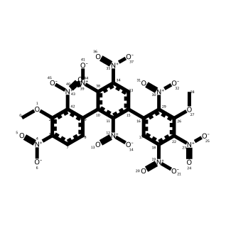 COc1c([N+](=O)[O-])ccc(-c2c([N+](=O)[O-])c(-c3cc([N+](=O)[O-])c([N+](=O)[O-])c(OC)c3[N+](=O)[O-])cc([N+](=O)[O-])c2[N+](=O)[O-])c1[N+](=O)[O-]